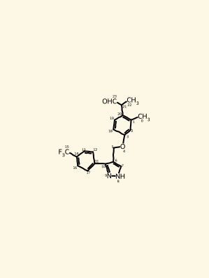 Cc1cc(OCc2c[nH]nc2-c2ccc(C(F)(F)F)cc2)ccc1C(C)C=O